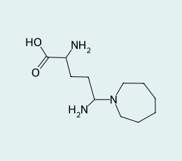 NC(CCC(N)N1CCCCCC1)C(=O)O